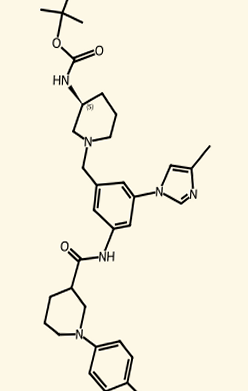 Cc1cn(-c2cc(CN3CCC[C@H](NC(=O)OC(C)(C)C)C3)cc(NC(=O)C3CCCN(c4ccc(F)cc4)C3)c2)cn1